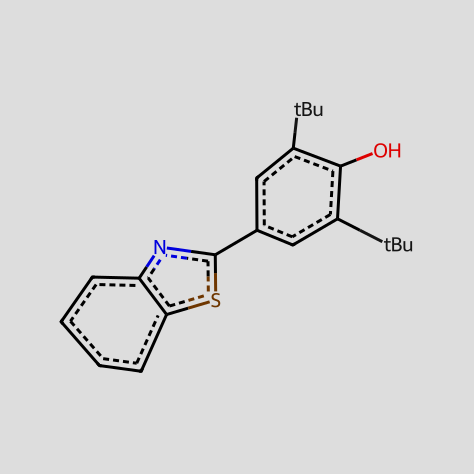 CC(C)(C)c1cc(-c2nc3ccccc3s2)cc(C(C)(C)C)c1O